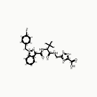 CC(C)(C)C(NC(=O)c1nn(Cc2ccc(F)cc2)c2ccccc12)C(=O)NCc1noc(C(=O)O)n1